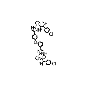 CN(C)C(C(=O)N1CCC[C@H]1c1nc(-c2cccc(Oc3ccc(-c4cnc([C@@H]5CCCN5C(=O)C(c5ccc(Cl)cc5)N(C)C)[nH]4)cc3)c2)c[nH]1)c1ccc(Cl)cc1